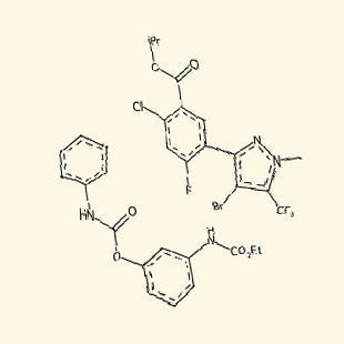 CC(C)OC(=O)c1cc(-c2nn(C)c(C(F)(F)F)c2Br)c(F)cc1Cl.CCOC(=O)Nc1cccc(OC(=O)Nc2ccccc2)c1